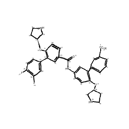 O=C(O)c1cccc(-c2cc(NC(=O)c3ccc(O[C@H]4CCNC4)c(-c4ccc(F)c(F)c4)c3)ccc2O[C@H]2CCNC2)c1